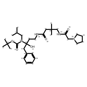 CC(C)CN(C(=O)OC(C)(C)C)C(O)(CCNC(=O)CC(C)(C)CNC(=O)CN1CCCC1)Cc1ccccc1